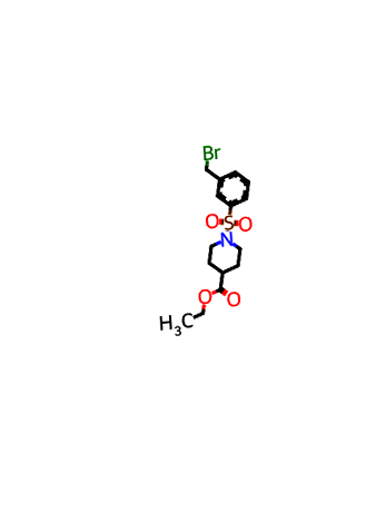 CCOC(=O)C1CCN(S(=O)(=O)c2cccc(CBr)c2)CC1